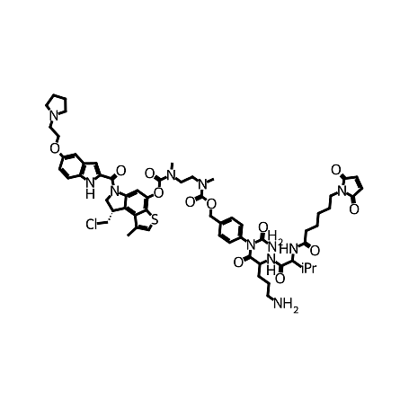 Cc1csc2c(OC(=O)N(C)CCN(C)C(=O)OCc3ccc(N(C(N)=O)C(=O)C(CCCN)NC(=O)C(NC(=O)CCCCCN4C(=O)C=CC4=O)C(C)C)cc3)cc3c(c12)[C@H](CCl)CN3C(=O)c1cc2cc(OCCN3CCCC3)ccc2[nH]1